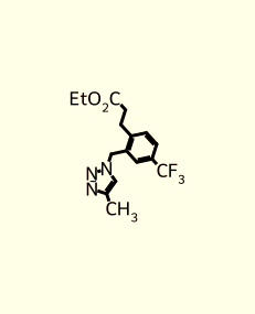 CCOC(=O)CCc1ccc(C(F)(F)F)cc1Cn1cc(C)nn1